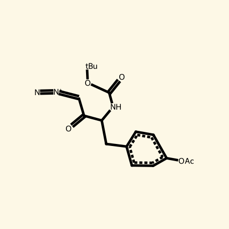 CC(=O)Oc1ccc(CC(NC(=O)OC(C)(C)C)C(=O)C=[N+]=[N-])cc1